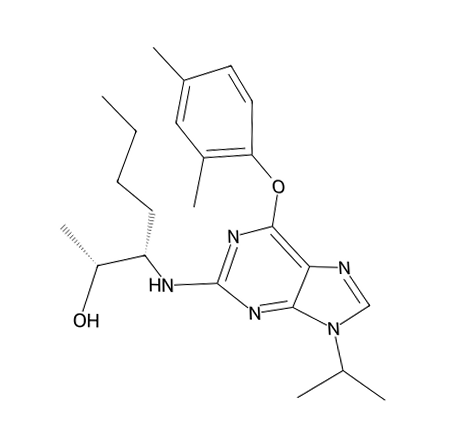 CCCC[C@H](Nc1nc(Oc2ccc(C)cc2C)c2ncn(C(C)C)c2n1)[C@@H](C)O